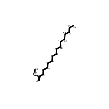 C=C(CCCCCCCCCCCCCCC)OC